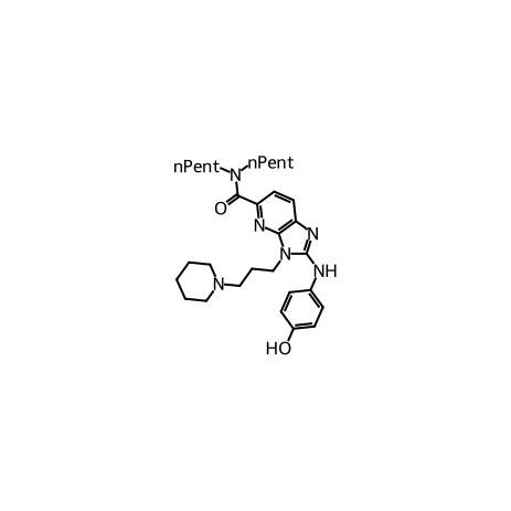 CCCCCN(CCCCC)C(=O)c1ccc2nc(Nc3ccc(O)cc3)n(CCCN3CCCCC3)c2n1